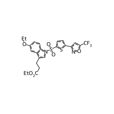 CCOC(=O)CCc1cn(S(=O)(=O)c2ccc(-c3cc(C(F)(F)F)on3)s2)c2ccc(OCC)cc12